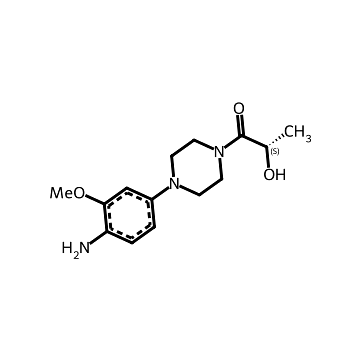 COc1cc(N2CCN(C(=O)[C@H](C)O)CC2)ccc1N